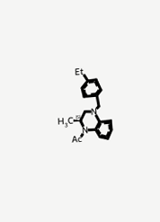 CCc1ccc(CN2C[C@H](C)N(C(C)=O)c3ccccc32)cc1